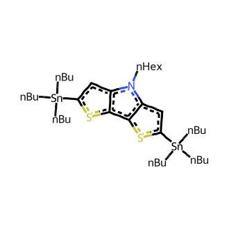 CCCCCCn1c2c[c]([Sn]([CH2]CCC)([CH2]CCC)[CH2]CCC)sc2c2s[c]([Sn]([CH2]CCC)([CH2]CCC)[CH2]CCC)cc21